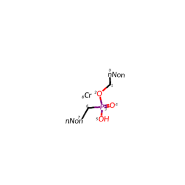 CCCCCCCCCCOP(=O)(O)CCCCCCCCCC.[Cr]